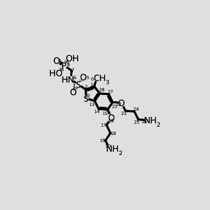 Cc1c(S(=O)(=O)NCP(=O)(O)O)sc2cc(OCCCN)c(OCCCN)cc12